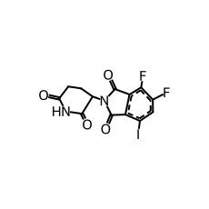 O=C1CCC(N2C(=O)c3c(I)cc(F)c(F)c3C2=O)C(=O)N1